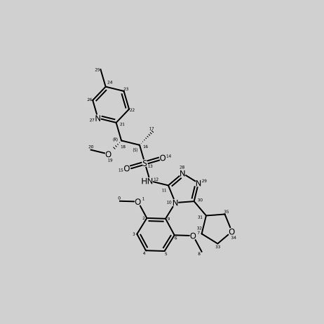 COc1cccc(OC)c1-n1c(NS(=O)(=O)[C@@H](C)[C@H](OC)c2ccc(C)cn2)nnc1C1CCOC1